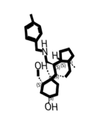 Cc1ccc(CNC[C@H]2[C@@H]3CCC[C@@]3(C)CC[C@@H]2[C@@]2(C)CC[C@H](O)C[C@@H]2CO)cc1